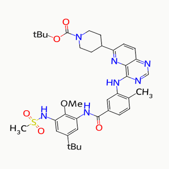 COc1c(NC(=O)c2ccc(C)c(Nc3ncnc4ccc(C5CCN(C(=O)OC(C)(C)C)CC5)nc34)c2)cc(C(C)(C)C)cc1NS(C)(=O)=O